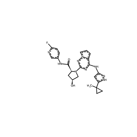 CC1(c2cc(Nc3nc(N4C[C@@H](O)C[C@H]4C(=O)Nc4ccc(F)nc4)nn4cccc34)n[nH]2)CC1